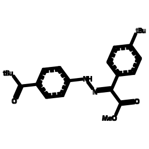 COC(=O)/C(=N/Nc1ccc(C(=O)C(C)(C)C)cc1)c1ccc(C(C)(C)C)cc1